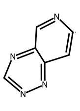 [c]1cc2nncnc2cn1